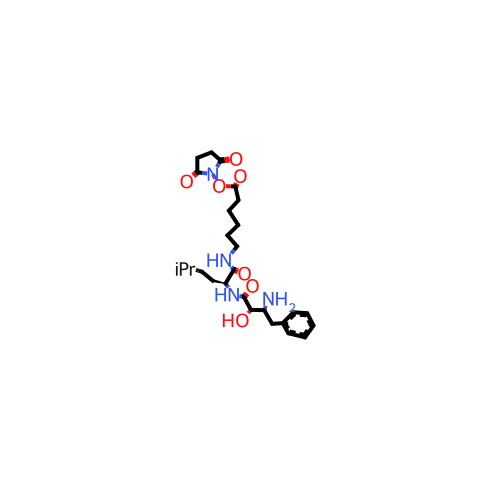 CC(C)CC[C@H](NC(=O)C(O)C(N)Cc1ccccc1)C(=O)NCCCCCC(=O)ON1C(=O)CCC1=O